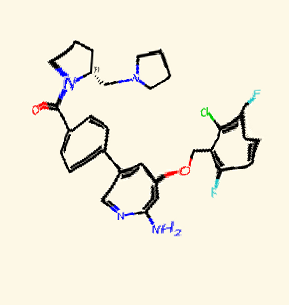 Nc1ncc(-c2ccc(C(=O)N3CCC[C@@H]3CN3CCCC3)cc2)cc1OCc1c(F)ccc(F)c1Cl